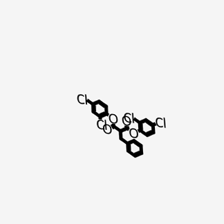 O=C(Oc1ccc(Cl)cc1Cl)C(Cc1ccccc1)C(=O)Oc1ccc(Cl)cc1Cl